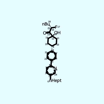 CCCCCCCc1ccc(-c2ccc([C@H]3CC[C@@](O)(C(=O)[C@@H](F)CCCC)CC3)cc2)nc1